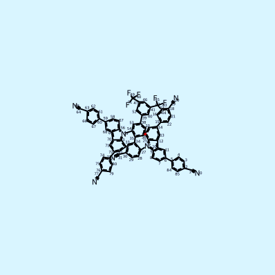 N#Cc1ccc(-c2ccc3c(c2)c2cc(-c4ccc(C#N)cc4)ccc2n3-c2ccc(C#N)cc2-c2ccc(-c3cc(C(F)(F)F)cc(C(F)(F)F)c3)cc2-n2c3ccc(-c4ccc(C#N)cc4)cc3c3cc(-c4ccc(C#N)cc4)ccc32)cc1